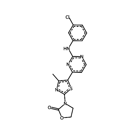 Cc1nc(N2CCOC2=O)sc1-c1ccnc(Nc2cccc(Cl)c2)n1